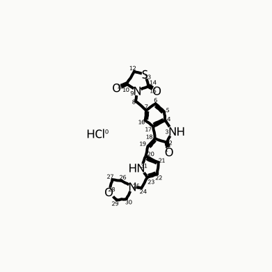 Cl.O=C1Nc2ccc(CN3C(=O)CSC3=O)cc2C1=Cc1ccc(CN2CCOCC2)[nH]1